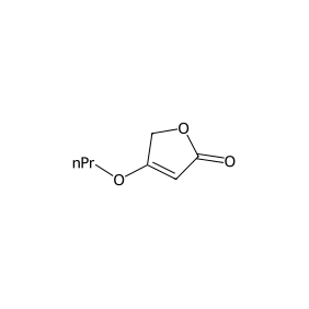 CCCOC1=CC(=O)OC1